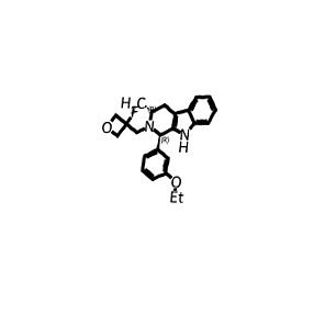 [CH2]COc1cccc([C@@H]2c3[nH]c4ccccc4c3C[C@@H](C)N2CC2(F)COC2)c1